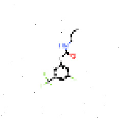 CCCNC(=O)Cc1cc(F)cc(C(F)(F)F)c1